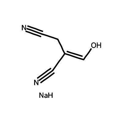 N#CC/C(C#N)=C\O.[NaH]